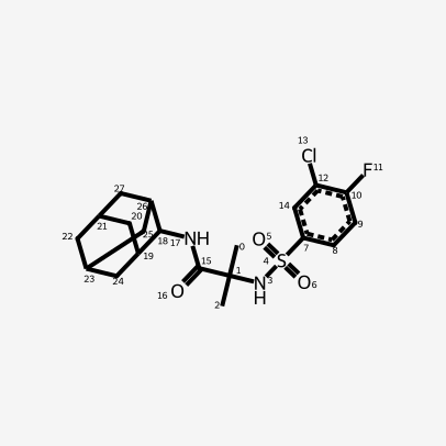 CC(C)(NS(=O)(=O)c1ccc(F)c(Cl)c1)C(=O)NC1C2CC3CC(C2)CC1C3